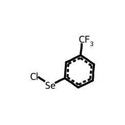 FC(F)(F)c1cccc([Se]Cl)c1